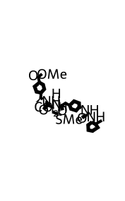 COC(=O)c1ccc([C@H](CC(=O)O)NC(=O)[C@H](CCSC)NC(=O)Cc2ccc(NC(=O)Nc3ccccc3C)cc2)cc1